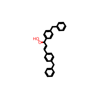 OOC(C=Cc1ccc(Cc2ccccc2)cc1)c1ccc(Cc2ccccc2)cc1